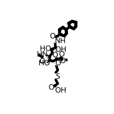 COC(=O)[C@@]1(OCCCSCCC(=O)O)C[C@@H](O)[C@@H](NC(C)=O)C([C@H](O)[C@H](O)CNC(=O)c2ccc(-c3ccccc3)cc2)O1